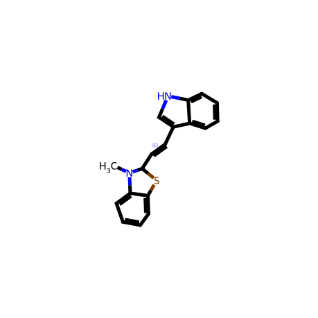 CN1c2ccccc2SC1/C=C/c1c[nH]c2ccccc12